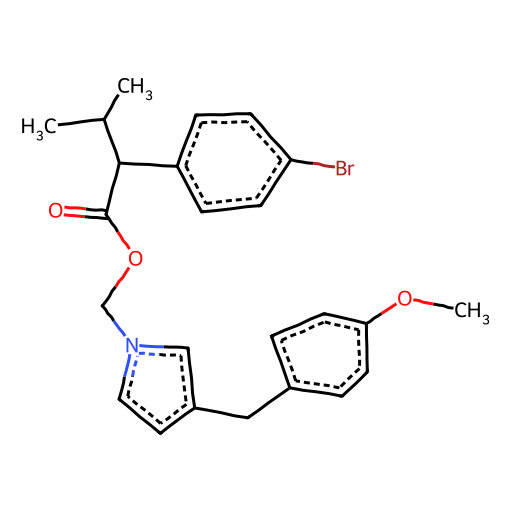 COc1ccc(Cc2ccn(COC(=O)C(c3ccc(Br)cc3)C(C)C)c2)cc1